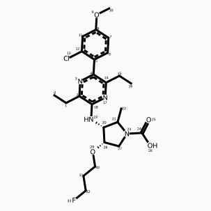 CCc1nc(-c2ccc(OC)cc2Cl)c(CC)nc1N[C@@H]1C(C)N(C(=O)O)C[C@@H]1OCCCF